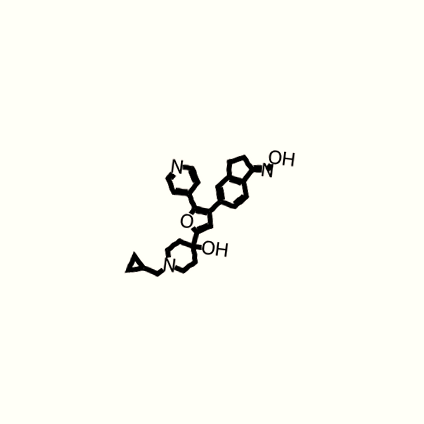 O/N=C1\CCc2cc(-c3cc(C4(O)CCN(CC5CC5)CC4)oc3-c3ccncc3)ccc21